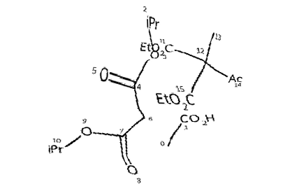 CC(=O)O.CC(C)OC(=O)CC(=O)OC(C)C.CCOC(=O)C(C)(C(C)=O)C(=O)OCC